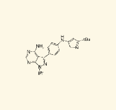 CC(C)n1nc(-c2ccc(NC3=CC(C(C)(C)C)=NC3)cc2)c2c(N)ncnc21